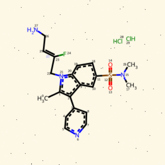 Cc1c(-c2ccncc2)c2cc(S(=O)(=O)N(C)C)ccc2n1C/C(F)=C/CN.Cl.Cl